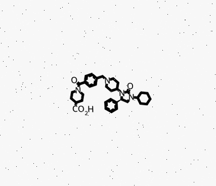 O=C(O)C1CCN(C(=O)c2ccc(CN3CCC(N4C(=O)N(C5CCCCC5)C[C@H]4c4ccccc4)CC3)cc2)CC1